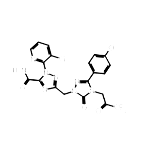 NC(=O)c1nc(Cn2nc(-c3ccc(Cl)cc3)n(CC(=O)C(F)(F)F)c2=O)nn1-c1ncccc1Cl